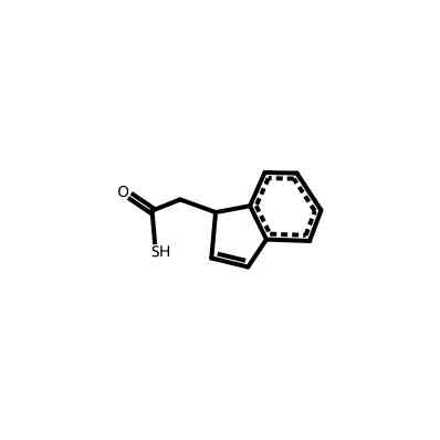 O=C(S)CC1C=Cc2ccccc21